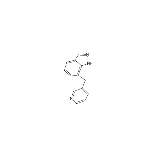 c1cncc(Cc2cccc3cn[nH]c23)c1